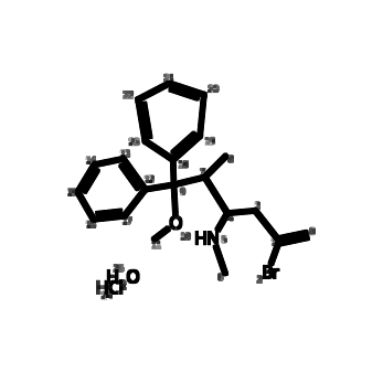 C=C(Br)CC(NC)C(C)C(OC)(c1ccccc1)c1ccccc1.Cl.O